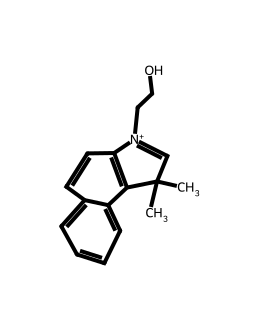 CC1(C)C=[N+](CCO)c2ccc3ccccc3c21